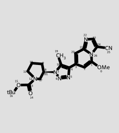 COc1cc(-c2nnn([C@@H]3CCCN(C(=O)OC(C)(C)C)C3)c2C)cc2ncc(C#N)n12